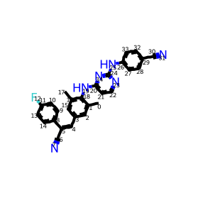 Cc1cc(/C=C(/C#N)c2ccc(F)cc2)cc(C)c1Nc1ccnc(Nc2ccc(C#N)cc2)n1